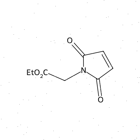 CCOC(=O)CN1C(=O)C=CC1=O